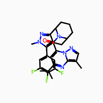 Cc1cnn2c(C(=O)N3C4CCCC3c3nn(C)c(-c5cc(F)c(F)c(F)c5)c3C4)cc(C(C)C)nc12